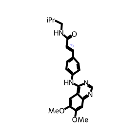 COc1cc2ncnc(Nc3ccc(/C=C/C(=O)NCC(C)C)cc3)c2cc1OC